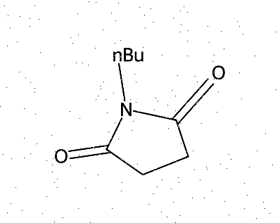 [CH2]CCCN1C(=O)CCC1=O